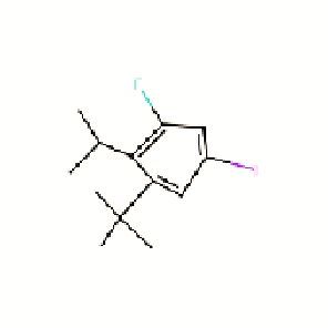 CC(C)c1c(F)cc(I)cc1C(C)(C)C